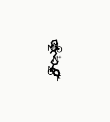 Cc1nc2n(c(=O)c1CC[N+]1(C)CCC(c3noc4cc(F)ccc34)CC1)CCCC2